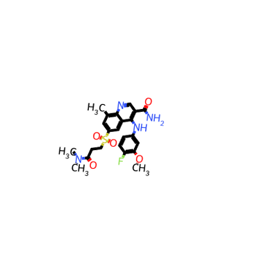 COc1cc(Nc2c(C(N)=O)cnc3c(C)cc(S(=O)(=O)CCC(=O)N(C)C)cc23)ccc1F